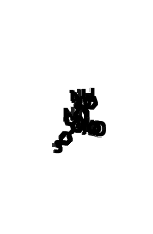 CSc1ccc(-c2cc(N3CCOCC3)nc3c(/C(=C/C=N)NC4CCCCO4)nccc23)cc1